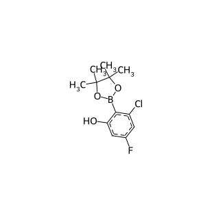 CC1(C)OB(c2c(O)cc(F)cc2Cl)OC1(C)C